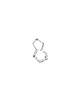 c1cnc2c(c1)C[N]C2